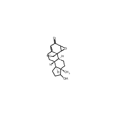 C[C@]12CC[C@H]3[C@@H](CCC4=CC(=O)C5OC5[C@@]43CO)[C@@H]1CCC2O